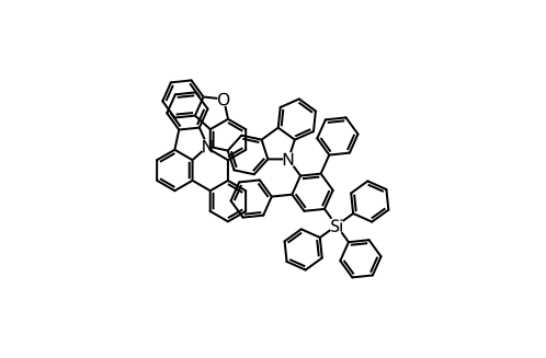 c1ccc(-c2cc([Si](c3ccccc3)(c3ccccc3)c3ccccc3)cc(-c3ccccc3)c2-n2c3ccccc3c3cc(-n4c5ccccc5c5cccc(-c6ccccc6-c6ccc7oc8ccccc8c7c6)c54)ccc32)cc1